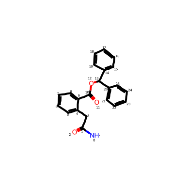 [NH]C(=O)Cc1ccccc1C(=O)OC(c1ccccc1)c1ccccc1